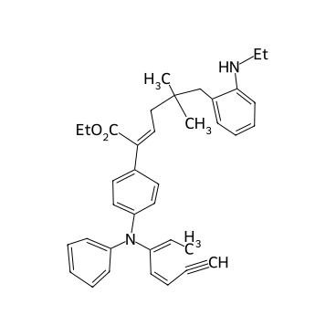 C#C/C=C\C(=C/C)N(c1ccccc1)c1ccc(/C(=C/CC(C)(C)Cc2ccccc2NCC)C(=O)OCC)cc1